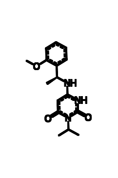 COc1ccccc1[C@H](C)Nc1cc(=O)n(C(C)C)c(=O)[nH]1